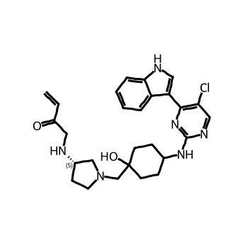 C=CC(=O)CN[C@H]1CCN(CC2(O)CCC(Nc3ncc(Cl)c(-c4c[nH]c5ccccc45)n3)CC2)C1